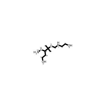 CC(C)(OCNCCO)C(CCO)ON